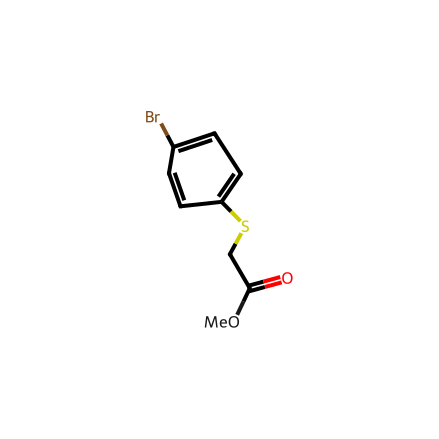 COC(=O)CSc1ccc(Br)cc1